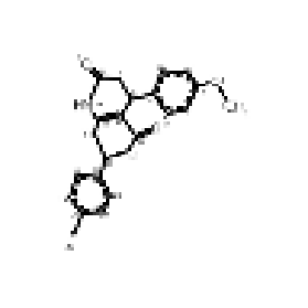 COc1ccc(C2CC(=O)NC3=C2C(=O)CC(c2ccc(F)cc2)C3)cc1